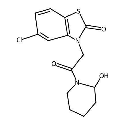 O=C(Cn1c(=O)sc2ccc(Cl)cc21)N1CCCCC1O